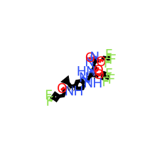 CC(C)(OC[C@H](NC(=O)c1nonc1OCC(F)(F)F)c1nc2cc([C@H](NC(=O)CC3CC(F)(F)C3)C3CC3)ccc2[nH]1)C(F)(F)F